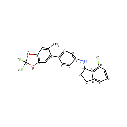 Cc1cc2c(cc1-c1ccc(NC3CCc4cccc(F)c43)cc1)OC(F)(F)O2